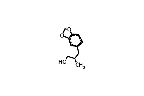 C[C@@H](CO)Cc1ccc2c(c1)OCO2